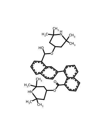 CC1(C)CC(OC(=O)c2cccc3cccc(-c4ccc5cccc(C(O)OC6CC(C)(C)NC(C)(C)C6)c5c4)c23)CC(C)(C)N1